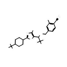 Cc1nc(C2CCC(C(F)(F)F)CC2)sc1C(OCc1ccc(C#N)c(Cl)c1)C(F)(F)F